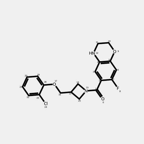 O=C(c1cc2c(cc1F)OCCN2)N1CC(COc2ccccc2Cl)C1